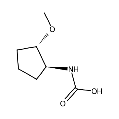 CO[C@H]1CCC[C@@H]1NC(=O)O